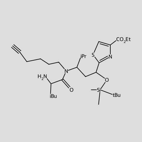 C#CCCCCN(C(=O)C(N)C(C)CC)C(CC(O[Si](C)(C)C(C)(C)C)c1nc(C(=O)OCC)cs1)C(C)C